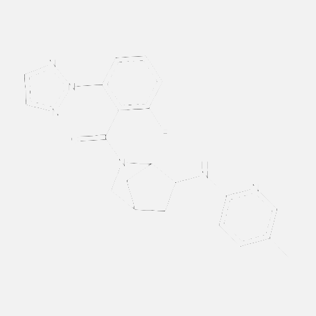 Cc1ccc(NC2CC3CC2N(C(=O)c2c(F)cccc2-n2nccn2)C3)nc1